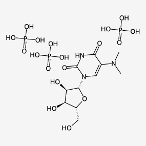 CN(C)c1cn([C@@H]2O[C@H](CO)[C@@H](O)[C@H]2O)c(=O)[nH]c1=O.O=P(O)(O)O.O=P(O)(O)O.O=P(O)(O)O